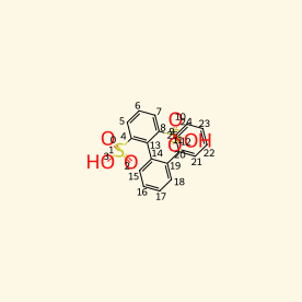 O=S(=O)(O)c1cccc(S(=O)(=O)O)c1-c1ccccc1-c1ccccc1